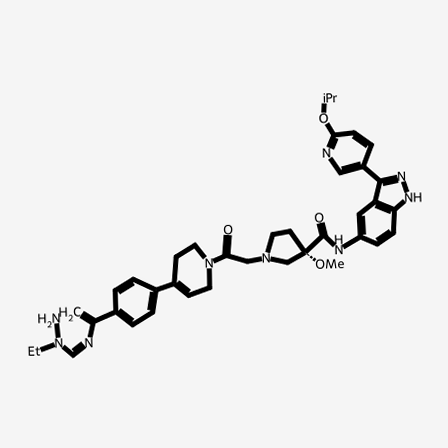 C=C(/N=C\N(N)CC)c1ccc(C2=CCN(C(=O)CN3CC[C@@](OC)(C(=O)Nc4ccc5[nH]nc(-c6ccc(OC(C)C)nc6)c5c4)C3)CC2)cc1